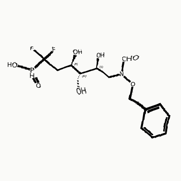 O=CN(C[C@H](O)[C@H](O)[C@H](O)CC(F)(F)[PH](=O)O)OCc1ccccc1